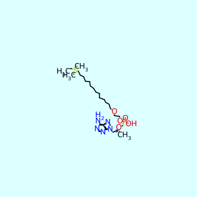 CCS(C)(C)CCCCCCCCCCCCCCOCCOP(=O)(O)CO[C@H](C)Cn1cnc2c(N)ncnc21